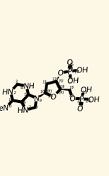 CNC1NCNC2C1NCN2[C@H]1C[C@H](OP(=O)(O)O)[C@@H](COP(=O)(O)O)O1